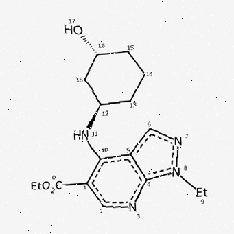 CCOC(=O)c1cnc2c(cnn2CC)c1N[C@@H]1CCC[C@@H](O)C1